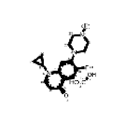 CCN1CCN(c2cc3c(cc2F)c(=O)ccn3C2CC2)CC1.O=C(O)O